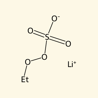 CCOOS(=O)(=O)[O-].[Li+]